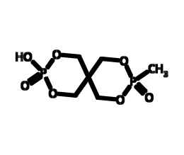 CP1(=O)OCC2(CO1)COP(=O)(O)OC2